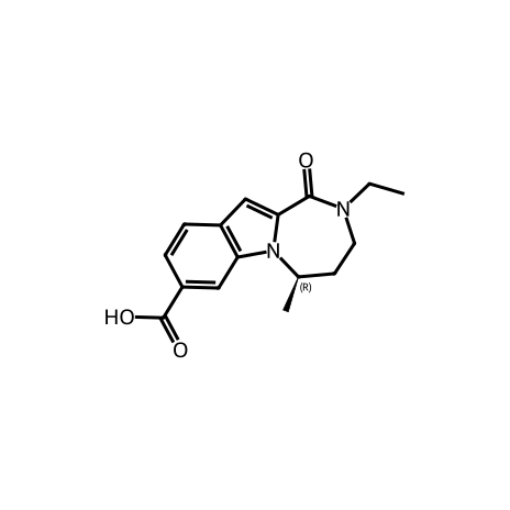 CCN1CC[C@@H](C)n2c(cc3ccc(C(=O)O)cc32)C1=O